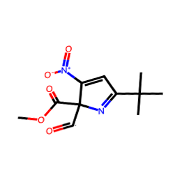 COC(=O)C1([C]=O)N=C(C(C)(C)C)C=C1[N+](=O)[O-]